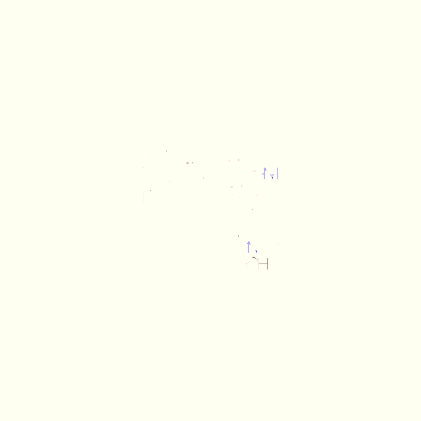 CN1CCC(c2c[nH]c3ccc(C=Cc4cccc(F)c4)cc23)CC1